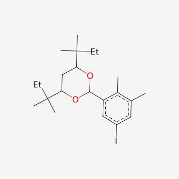 CCC(C)(C)C1CC(C(C)(C)CC)OC(c2cc(I)cc(C)c2C)O1